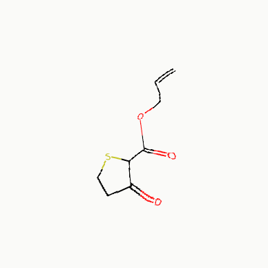 C=CCOC(=O)C1SCCC1=O